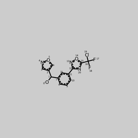 [O]C(c1cnoc1)c1cccc(-c2noc(C(F)(F)Cl)n2)c1